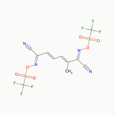 C/C(=C\C=C\C(C#N)=NOS(=O)(=O)C(F)(F)F)C(C#N)=NOS(=O)(=O)C(F)(F)F